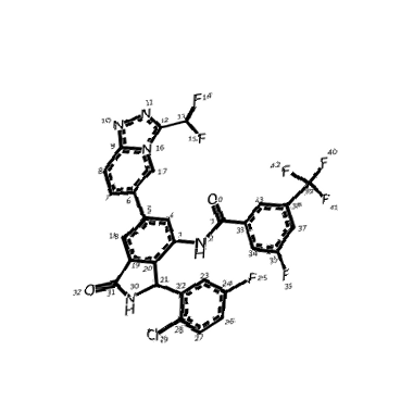 O=C(Nc1cc(-c2ccc3nnc(C(F)F)n3c2)cc2c1C(c1cc(F)ccc1Cl)NC2=O)c1cc(F)cc(C(F)(F)F)c1